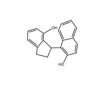 Oc1cccc2c1C(c1c(O)ccc3ccccc13)CC2